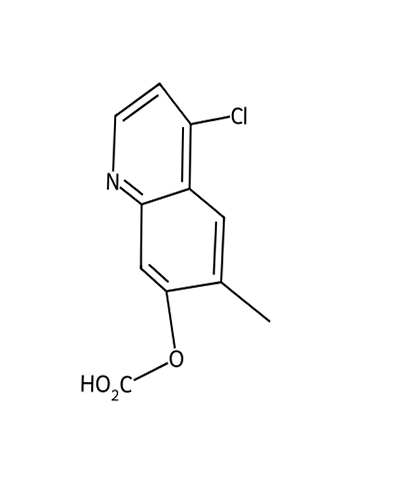 Cc1cc2c(Cl)ccnc2cc1OC(=O)O